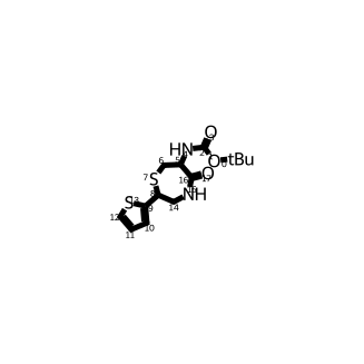 CC(C)(C)OC(=O)NC1CSC(c2cccs2)CNC1=O